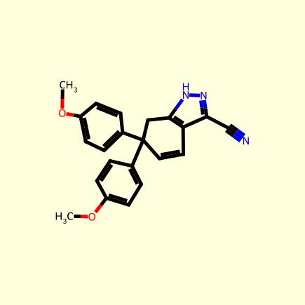 COc1ccc(C2(c3ccc(OC)cc3)C=Cc3c(C#N)n[nH]c3C2)cc1